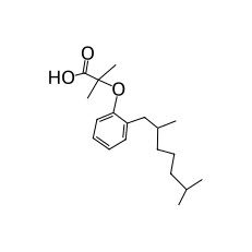 CC(C)CCCC(C)Cc1ccccc1OC(C)(C)C(=O)O